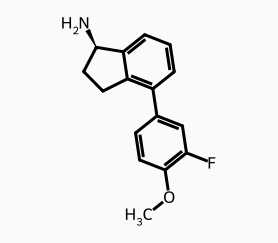 COc1ccc(-c2cccc3c2CC[C@H]3N)cc1F